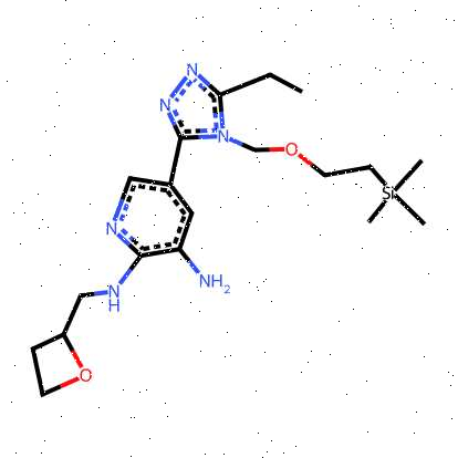 CCc1nnc(-c2cnc(NCC3CCO3)c(N)c2)n1COCC[Si](C)(C)C